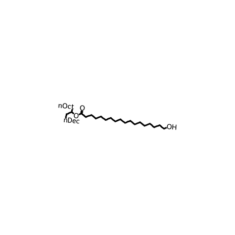 CCCCCCCCCCCC(CCCCCCCC)OC(=O)CCCCCCCCCCCCCCCCCO